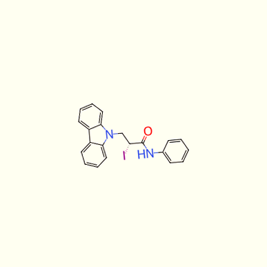 O=C(Nc1ccccc1)[C@H](I)Cn1c2ccccc2c2ccccc21